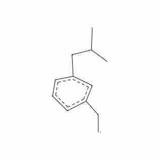 [CH2]Cc1cccc(CC(C)C)c1